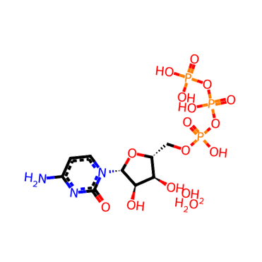 Nc1ccn([C@@H]2O[C@H](COP(=O)(O)OP(=O)(O)OP(=O)(O)O)[C@@H](O)[C@H]2O)c(=O)n1.O.O